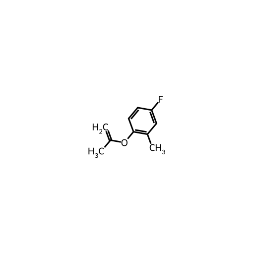 C=C(C)Oc1ccc(F)cc1C